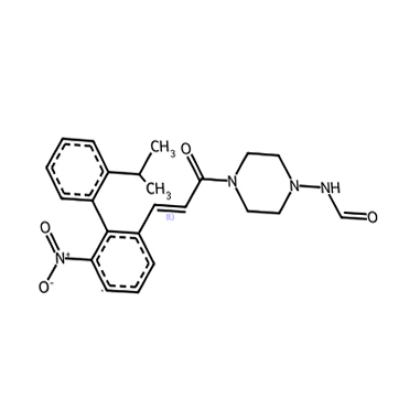 CC(C)c1ccccc1-c1c([N+](=O)[O-])[c]ccc1/C=C/C(=O)N1CCN(NC=O)CC1